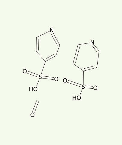 C=O.O=S(=O)(O)c1ccncc1.O=S(=O)(O)c1ccncc1